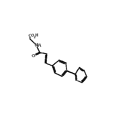 O=C(O)CNC(=O)C=Cc1ccc(-c2ccccc2)cc1